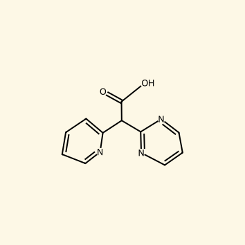 O=C(O)C(c1ccccn1)c1ncccn1